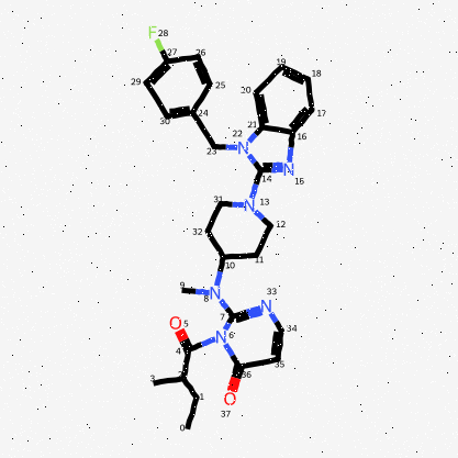 CCC(C)C(=O)n1c(N(C)C2CCN(c3nc4ccccc4n3Cc3ccc(F)cc3)CC2)nccc1=O